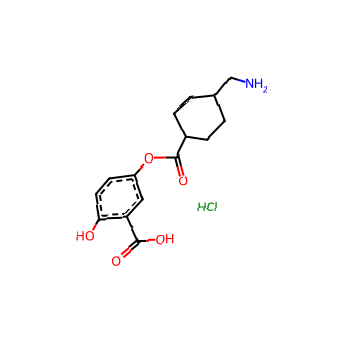 Cl.NCC1CCC(C(=O)Oc2ccc(O)c(C(=O)O)c2)CC1